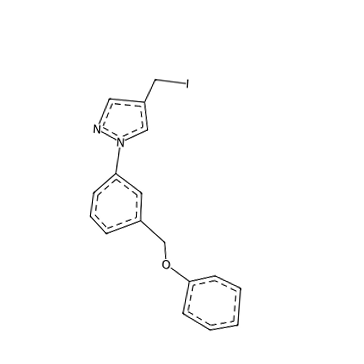 ICc1cnn(-c2cccc(COc3ccccc3)c2)c1